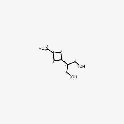 O=S(=O)(O)C1CC(C(CO)CO)C1